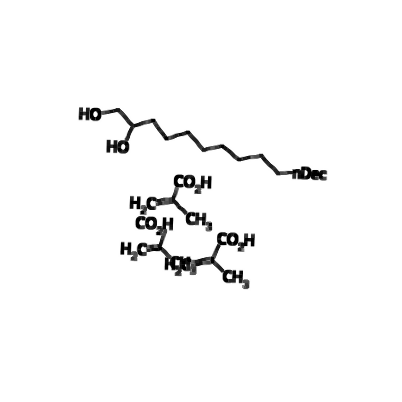 C=C(C)C(=O)O.C=C(C)C(=O)O.C=C(C)C(=O)O.CCCCCCCCCCCCCCCCCCC(O)CO